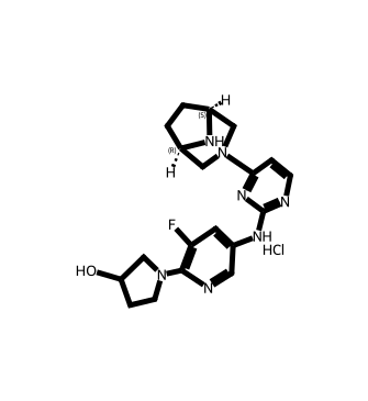 Cl.OC1CCN(c2ncc(Nc3nccc(N4C[C@H]5CC[C@@H](C4)N5)n3)cc2F)C1